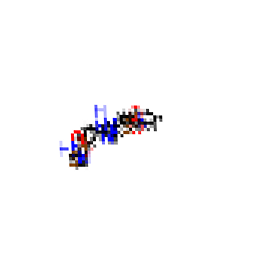 O=S(=O)(Nc1nccs1)c1ccc(Nc2nccc(-c3ccc(S(=O)(=O)N4CCCCC4)s3)n2)cc1